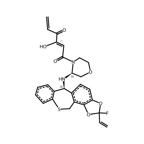 C=CC(=O)/C(O)=C/C(=O)N1CCOC[C@H]1N[C@@H]1c2ccccc2SCc2c1ccc1c2OC(F)(C=C)O1